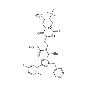 CC(C)(C)C(c1cc(-c2cc(F)ccc2F)cn1Cc1ccccc1)N(CCC(NC(=O)OCCS(C)(C)C)C(=O)NCCC(=O)O)C(=O)CO